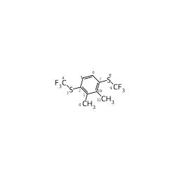 Cc1c(SC(F)(F)F)ccc(SC(F)(F)F)c1C